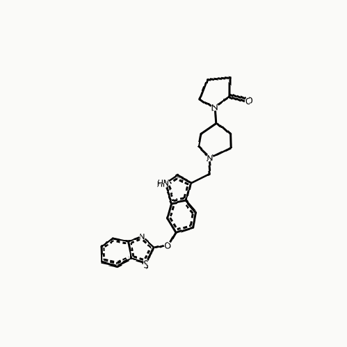 O=C1CCCN1C1CCN(Cc2c[nH]c3cc(Oc4nc5ccccc5s4)ccc23)CC1